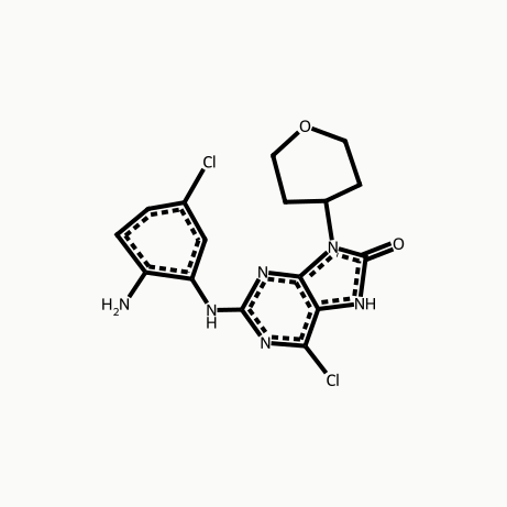 Nc1ccc(Cl)cc1Nc1nc(Cl)c2[nH]c(=O)n(C3CCOCC3)c2n1